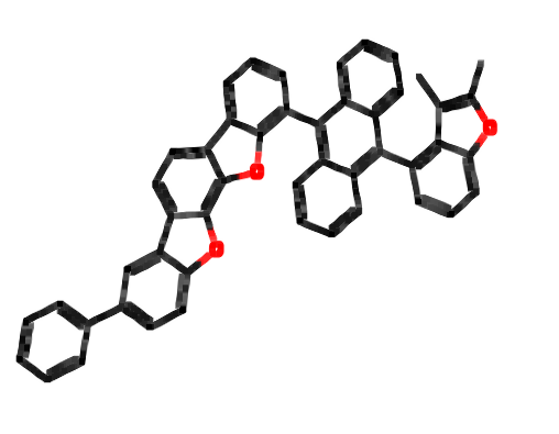 Cc1oc2cccc(-c3c4ccccc4c(-c4cccc5c4oc4c5ccc5c6cc(-c7ccccc7)ccc6oc54)c4ccccc34)c2c1C